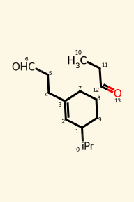 CC(C)C1C=C(CCC=O)CCC1.CCC=O